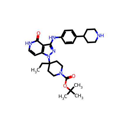 CCC1(n2nc(Nc3ccc(C4CCNCC4)cc3)c3c(=O)[nH]ccc32)CCN(C(=O)OC(C)(C)C)CC1